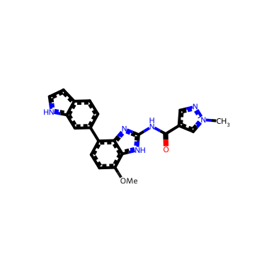 COc1ccc(-c2ccc3cc[nH]c3c2)c2nc(NC(=O)c3cnn(C)c3)[nH]c12